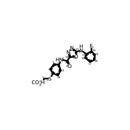 O=C(O)CSc1ccc(NC(=O)c2nnc(Nc3ccccc3F)o2)cc1